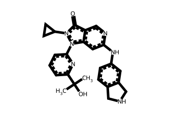 CC(C)(O)c1cccc(-n2c3cc(Nc4ccc5c(c4)CNC5)ncc3c(=O)n2C2CC2)n1